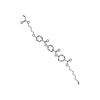 C=CCCCCCCOC(=O)c1ccc(OC(=O)c2ccc(OC(=O)c3ccc(OCCCCOC(=O)C=C)cc3)cc2)cc1